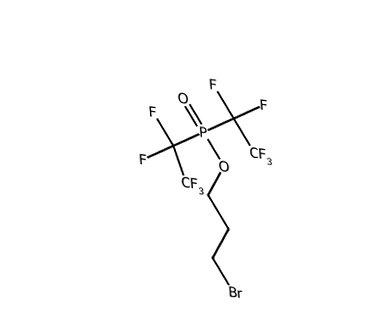 O=P(OCCCBr)(C(F)(F)C(F)(F)F)C(F)(F)C(F)(F)F